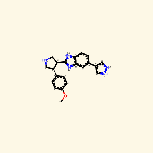 COc1ccc([C@H]2CNCC2c2nc3cc(-c4cn[nH]c4)ccc3[nH]2)cc1